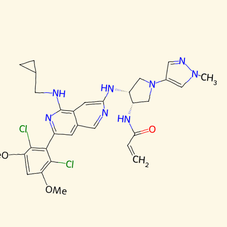 C=CC(=O)N[C@H]1CN(c2cnn(C)c2)C[C@H]1Nc1cc2c(NCC3CC3)nc(-c3c(Cl)c(OC)cc(OC)c3Cl)cc2cn1